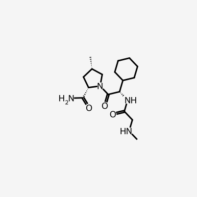 CNCC(=O)N[C@H](C(=O)N1C[C@@H](C)C[C@H]1C(N)=O)C1CCCCC1